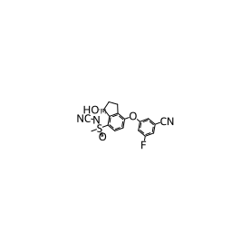 CS(=O)(=NC#N)c1ccc(Oc2cc(F)cc(C#N)c2)c2c1[C@H](O)CC2